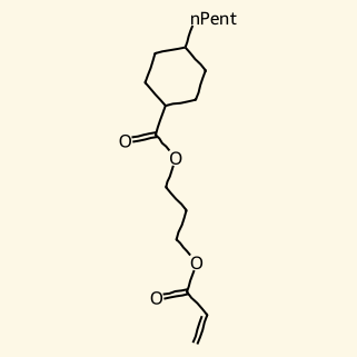 C=CC(=O)OCCCOC(=O)C1CCC(CCCCC)CC1